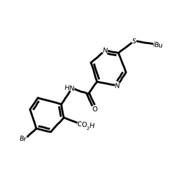 CCC(C)Sc1cnc(C(=O)Nc2ccc(Br)cc2C(=O)O)cn1